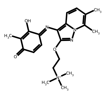 CC1=C(O)/C(=N/c2c(OCC[N+](C)(C)C)nn3c(C)c(C)ccc23)C=CC1=O